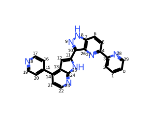 c1ccc(-c2ccc3[nH]nc(-c4cc5c(-c6ccncc6)ccnc5[nH]4)c3n2)nc1